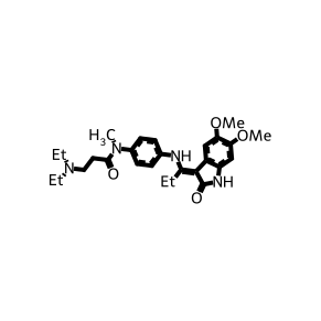 CCC(Nc1ccc(N(C)C(=O)CCN(CC)CC)cc1)=C1C(=O)Nc2cc(OC)c(OC)cc21